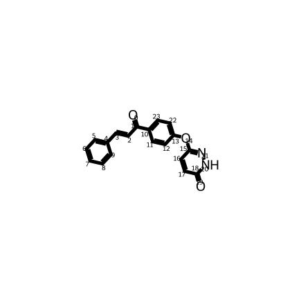 O=C(C=Cc1ccccc1)c1ccc(Oc2ccc(=O)[nH]n2)cc1